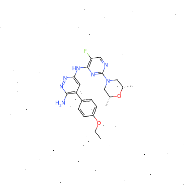 CCOc1ccc(-c2cc(Nc3nc(N4C[C@@H](C)O[C@@H](C)C4)ncc3F)nnc2N)cc1